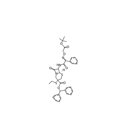 CCSC1(C(=O)OC(c2ccccc2)c2ccccc2)CS[C@@H]2C(NC(=O)C(=NOCC(=O)OC(C)(C)C)c3ccccc3)C(=O)N2C1